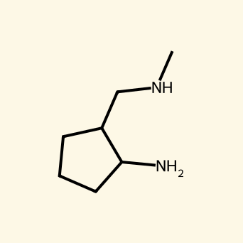 CNCC1CCCC1N